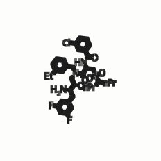 CCCC(CCC)S(=O)(=O)CC(NC(=O)c1cccc(Cl)c1)C(=O)N(Cc1cccc(CC)c1)C[C@@H](O)[C@H](N)Cc1cc(F)cc(F)c1